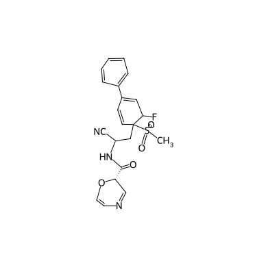 CS(=O)(=O)C1(CC(C#N)NC(=O)[C@@H]2C=NC=CO2)C=CC(c2ccccc2)=CC1F